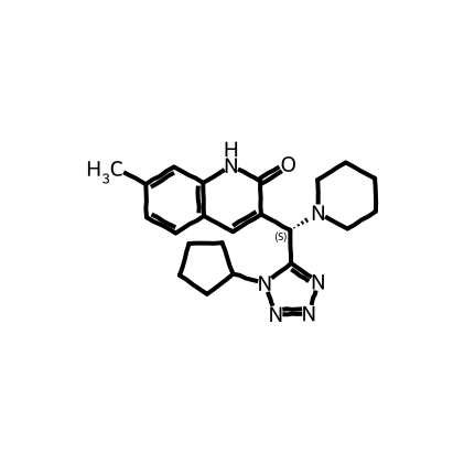 Cc1ccc2cc([C@@H](c3nnnn3C3CCCC3)N3CCCCC3)c(=O)[nH]c2c1